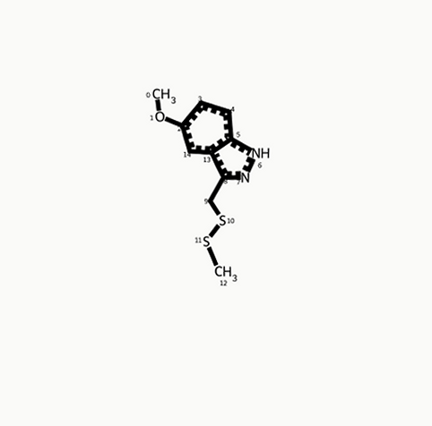 COc1ccc2[nH]nc(CSSC)c2c1